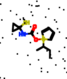 CCC(C)S1(OC(=O)NC2(S)CC2)C=CC=C1